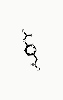 CCNCc1ccc(OC(F)F)nn1